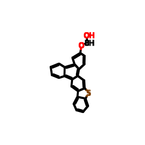 OBOc1ccc2c(c1)c1ccccc1c1cc3c(cc21)sc1ccccc13